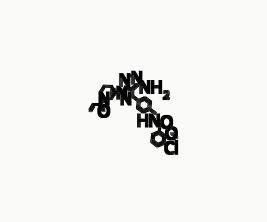 C=CC(=O)N1CCC[C@@H](n2nc(-c3ccc(CNC(=O)c4cccc(Cl)c4OC)cc3)c3c(N)ncnc32)C1